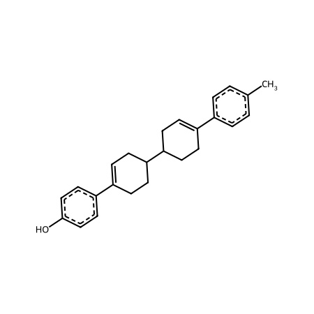 Cc1ccc(C2=CCC(C3CC=C(c4ccc(O)cc4)CC3)CC2)cc1